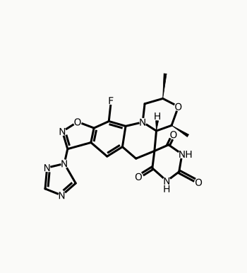 C[C@@H]1CN2c3c(cc4c(-n5cncn5)noc4c3F)CC3(C(=O)NC(=O)NC3=O)[C@H]2[C@H](C)O1